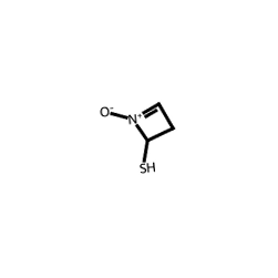 [O-][N+]1=CCC1S